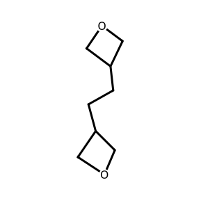 C(CC1COC1)C1COC1